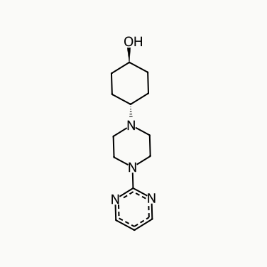 O[C@H]1CC[C@H](N2CCN(c3ncccn3)CC2)CC1